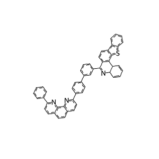 C1=CC2N=C(c3cccc(-c4ccc(-c5ccc6ccc7ccc(-c8ccccc8)nc7c6n5)cc4)c3)c3ccc4c(sc5ccccc54)c3C2C=C1